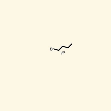 CCCCBr.F